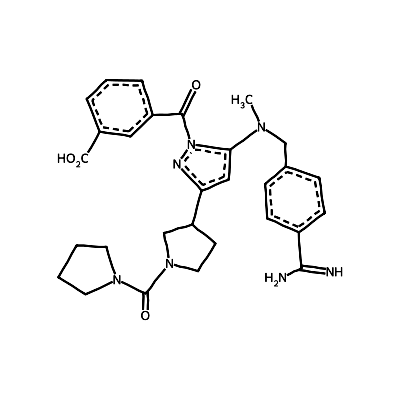 CN(Cc1ccc(C(=N)N)cc1)c1cc(C2CCN(C(=O)N3CCCC3)C2)nn1C(=O)c1cccc(C(=O)O)c1